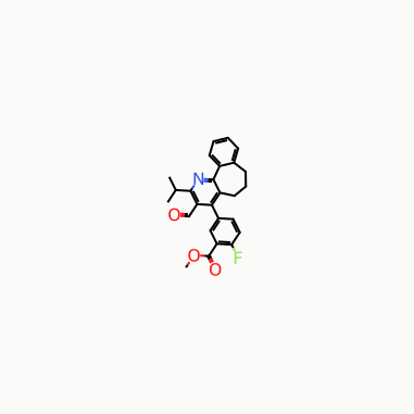 COC(=O)c1cc(-c2c(C=O)c(C(C)C)nc3c2CCCc2ccccc2-3)ccc1F